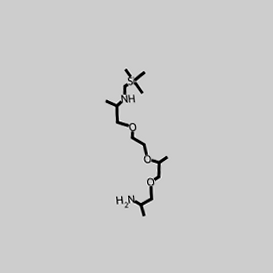 CC(N)COCC(C)OCCOCC(C)NC[Si](C)(C)C